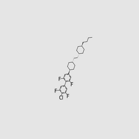 CCCC[C@H]1CC[C@H](CC[C@H]2CC[C@H](c3cc(F)c(-c4cc(F)c(Cl)c(F)c4)c(F)c3)CC2)CC1